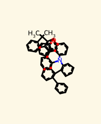 CC1(C)c2ccccc2-c2c(-c3ccccc3N(c3ccccc3-c3ccccc3-c3ccccc3)c3cccc4oc5ccccc5c34)cccc21